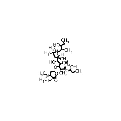 CC[C@H](O)OC(=O)[C@H](C)[C@@H](O[C@H]1CC(N(C)C)[C@@H]2OC2O1)[C@H](C)[C@@H](O)C(C)(O)C[C@@H](C)N(C)C[C@H](C)[C@@H](O)CC